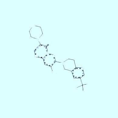 Cc1cc2ncc(N3CCOCC3)c(=O)n2nc1N1CCc2ncc(C(F)(F)F)cc2C1